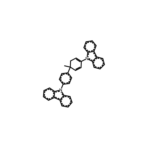 CC1(c2ccc(-n3c4ccccc4c4ccccc43)cc2)C=CC(n2c3ccccc3c3ccccc32)=CC1